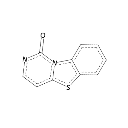 O=c1nccc2sc3ccccc3n12